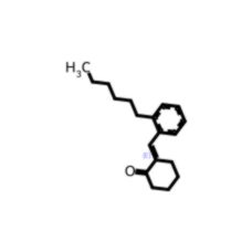 CCCCCCc1ccccc1/C=C1\CCCCC1=O